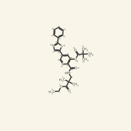 CCOC(=O)C(C)(C)CNC(=O)c1ncc(-c2cnc(-c3ccccc3)s2)cc1OC(=O)C(C)(C)C